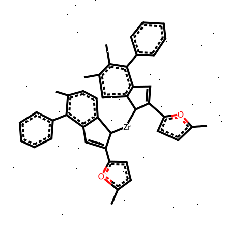 Cc1ccc(C2=Cc3c(ccc(C)c3-c3ccccc3)[CH]2[Zr][CH]2C(c3ccc(C)o3)=Cc3c2cc(C)c(C)c3-c2ccccc2)o1